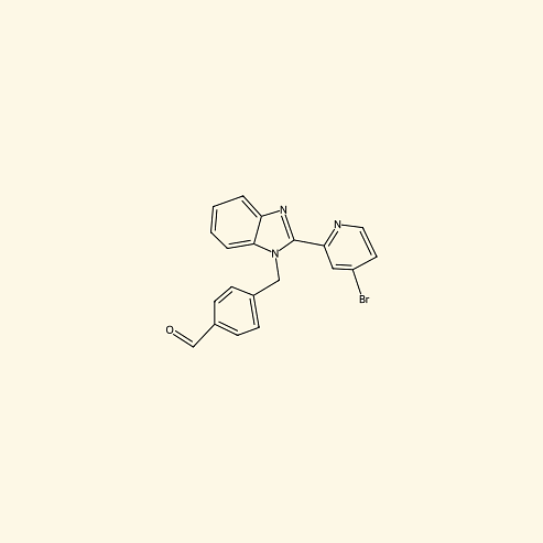 O=Cc1ccc(Cn2c(-c3cc(Br)ccn3)nc3ccccc32)cc1